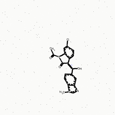 CC(=O)N1C(=O)/C(=C(/O)c2ccc3c(c2)ncn3C)c2ccc(Cl)cc21